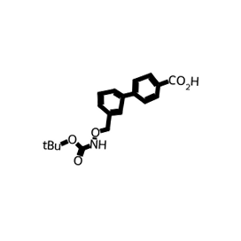 CC(C)(C)OC(=O)NOCc1cccc(-c2ccc(C(=O)O)cc2)c1